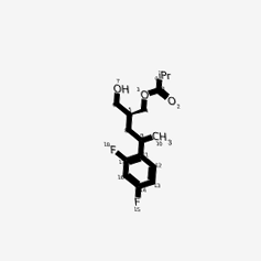 CC(C)C(=O)OC[C@H](CO)CC(C)c1ccc(F)cc1F